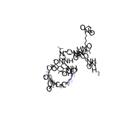 CO[C@H]1/C=C/O[C@@]2(C)Oc3c(C)c(O)c4c(c3C2=O)C2=NC3(CC[N+](Cc5ccc(NC(=O)[C@H](CCCNC(N)=O)NC(=O)[C@@H](NC(=O)CCCCCN6C(=O)C=CC6=O)C(C)C)cc5)(CC(C)C)CC3)NC2=C(NC(=O)/C(C)=C\C=C\[C@H](C)C[C@@H](C)C[C@@H](C)[C@H](OC(C)=O)[C@@H]1C)C4=O